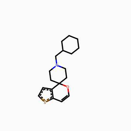 C1=Cc2sccc2C2(CCN(CC3CCCCC3)CC2)O1